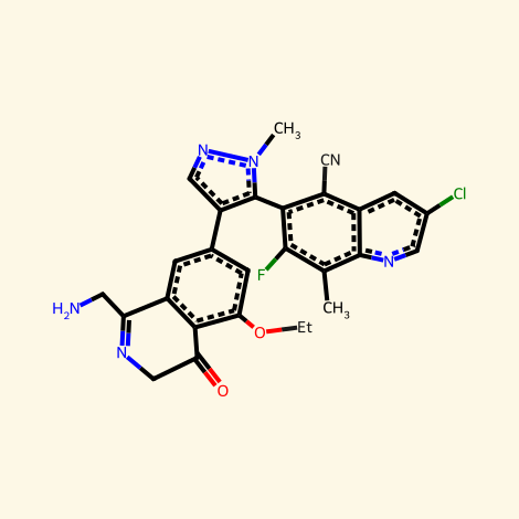 CCOc1cc(-c2cnn(C)c2-c2c(F)c(C)c3ncc(Cl)cc3c2C#N)cc2c1C(=O)CN=C2CN